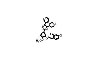 COc1ccc(C(=O)NC(C(=O)c2cccnc2)C2CCNCC2)cc1OCCc1ccc(Cl)cc1Cl